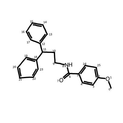 COc1ccc(C(=O)NCCC(c2ccccc2)c2ccccc2)cc1